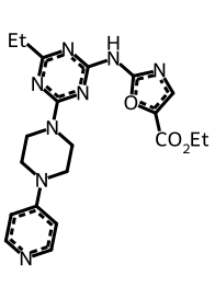 CCOC(=O)c1cnc(Nc2nc(CC)nc(N3CCN(c4ccncc4)CC3)n2)o1